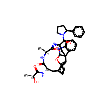 CC(C)[C@H](O)C(=O)N[C@H]1Cc2ccc3c(c2)C2(c4ccccc4NC2O3)c2oc(nc2C(=O)N2CCCC2c2ccccc2)[C@H](C(C)C)NC1=O